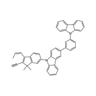 C#CC1=C(/C=C\C)c2ccc(-n3c4ccccc4c4cc(-c5cccc(-n6c7ccccc7c7ccccc76)c5)ccc43)cc2C1(C)C